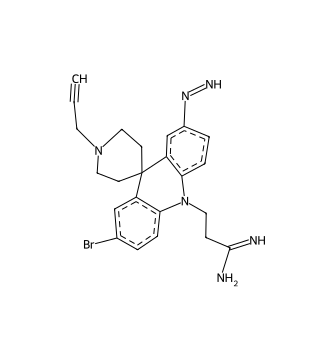 C#CCN1CCC2(CC1)c1cc(Br)ccc1N(CCC(=N)N)c1ccc(N=N)cc12